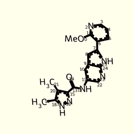 COc1ncccc1-c1cc2cc(NC(=O)c3n[nH]c(C)c3C)cnc2[nH]1